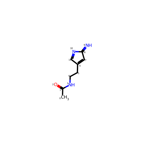 CC(=O)NCCC1=CC(=N)N=C1